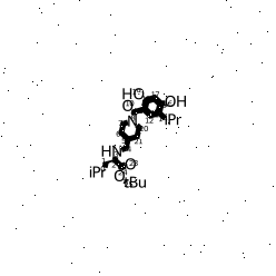 CC(C)C[C@@H](NCC1CCN(C(=O)c2cc(C(C)C)c(O)cc2O)CC1)C(=O)OC(C)(C)C